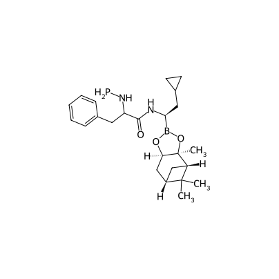 CC1(C)[C@@H]2C[C@H]3OB([C@H](CC4CC4)NC(=O)C(Cc4ccccc4)NP)O[C@@]3(C)[C@H]1C2